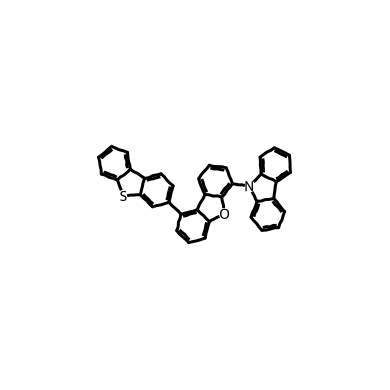 c1cc(-c2ccc3c(c2)sc2ccccc23)c2c(c1)oc1c(-n3c4ccccc4c4ccccc43)cccc12